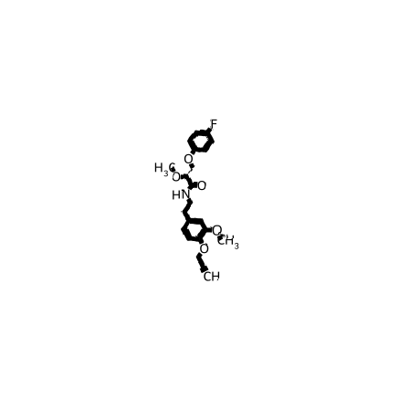 C#CCOc1ccc(CCNC(=O)[C@@H](COc2ccc(F)cc2)OC)cc1OC